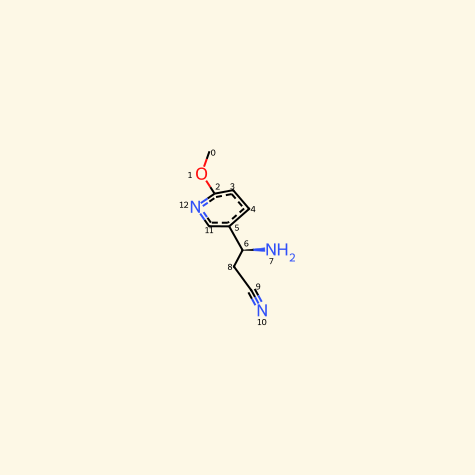 COc1ccc([C@@H](N)CC#N)cn1